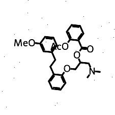 COc1cccc(CCc2ccccc2OCC(CN(C)C)OC(=O)c2ccccc2OC(C)=O)c1